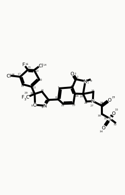 CN1C(=O)c2cc(C3=NOC(c4cc(Cl)c(F)c(Cl)c4)(C(F)(F)F)C3)ccc2C12CN(C(=O)CS(C)(=O)=O)C2